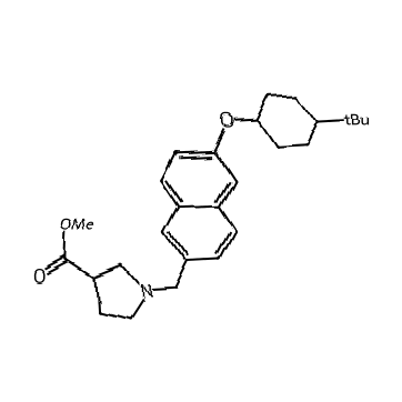 COC(=O)C1CCN(Cc2ccc3cc(OC4CCC(C(C)(C)C)CC4)ccc3c2)C1